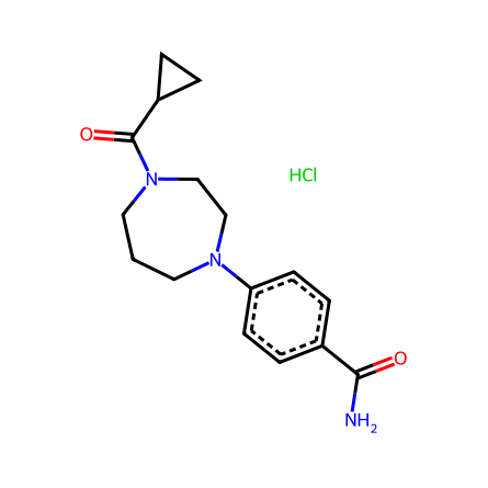 Cl.NC(=O)c1ccc(N2CCCN(C(=O)C3CC3)CC2)cc1